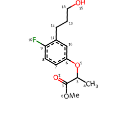 COC(=O)C(C)Oc1ccc(F)c(CCCO)c1